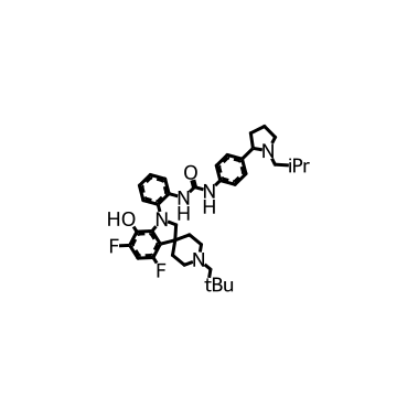 CC(C)CN1CCCC1c1ccc(NC(=O)Nc2ccccc2N2CC3(CCN(CC(C)(C)C)CC3)c3c(F)cc(F)c(O)c32)cc1